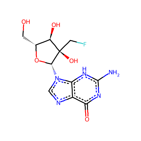 Nc1nc(=O)c2ncn([C@@H]3O[C@H](CO)[C@@H](O)[C@]3(O)CF)c2[nH]1